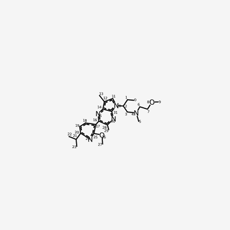 CCC(CN(C)CCOC)n1cc(C)c2nc(-c3ccc(C(C)C)nc3OC)c(C)nc21